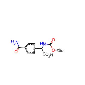 CC(C)(C)OC(=O)NC(C(=O)O)c1ccc(C(N)=O)cc1